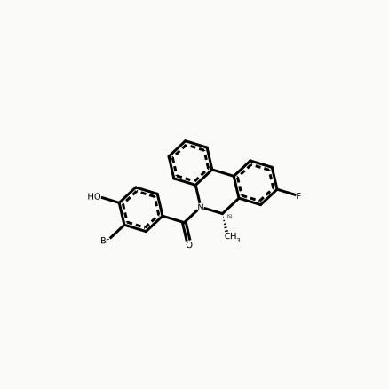 C[C@H]1c2cc(F)ccc2-c2ccccc2N1C(=O)c1ccc(O)c(Br)c1